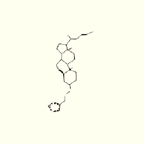 CC(C)CCCC(C)C1CCC2C3CC=C4CC(SSCc5cnc[nH]5)CCC4(C)C3CCC12C